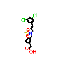 CS(=O)(=O)N(CC=Cc1cc(Cl)cc(Cl)c1)Cc1cccc(CC(=O)O)c1